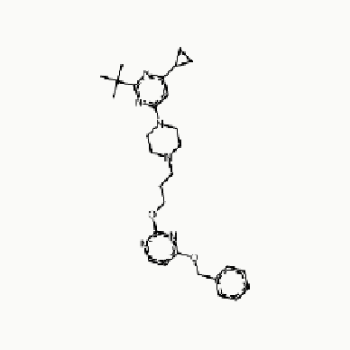 CC(C)(C)c1nc(C2CC2)cc(N2CCN(CCCOc3nccc(OCc4ccccc4)n3)CC2)n1